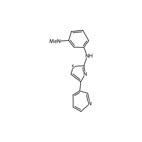 CNc1cccc(Nc2nc(-c3cccnc3)cs2)c1